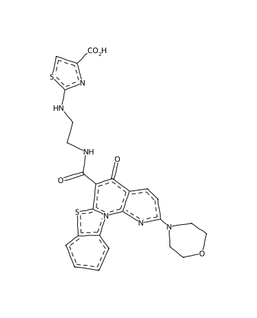 O=C(O)c1csc(NCCNC(=O)c2c(=O)c3ccc(N4CCOCC4)nc3n3c2sc2ccccc23)n1